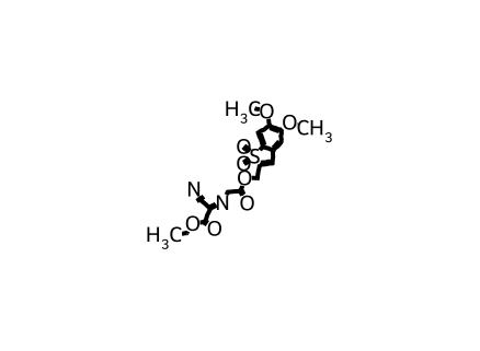 CCOC(=O)/C(C#N)=N/CC(=O)OCC1=Cc2cc(OC)c(OC)cc2S1(=O)=O